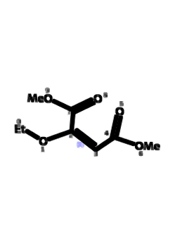 CCO/C(=C/C(=O)OC)C(=O)OC